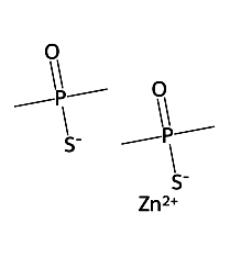 CP(C)(=O)[S-].CP(C)(=O)[S-].[Zn+2]